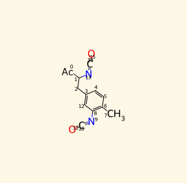 CC(=O)C(Cc1ccc(C)c(N=C=O)c1)N=C=O